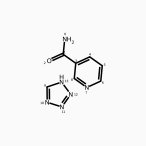 NC(=O)c1cccnc1.c1nnn[nH]1